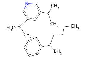 BC(CCCC)c1ccccc1.CC(C)c1cncc(C(C)C)c1